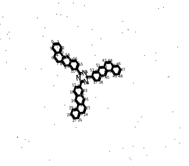 c1ccc2c(c1)ccc1cc3cc(-c4nc(-c5ccc6cc7c(ccc8ccccc87)cc6c5)nc(-c5ccc6cc7c(ccc8ccccc87)cc6c5)n4)ccc3cc12